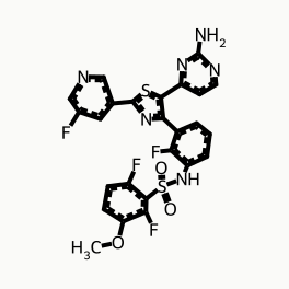 COc1ccc(F)c(S(=O)(=O)Nc2cccc(-c3nc(-c4cncc(F)c4)sc3-c3ccnc(N)n3)c2F)c1F